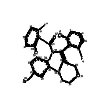 O=C(c1c(F)cccc1Cl)N(C(=O)c1c(F)cccc1Cl)c1ncc(Br)cc1N1CCOCC1